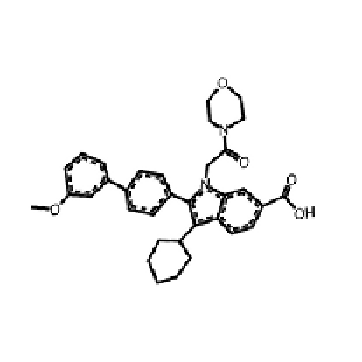 COc1cccc(-c2ccc(-c3c(C4CCCCC4)c4ccc(C(=O)O)cc4n3CC(=O)N3CCOCC3)cc2)c1